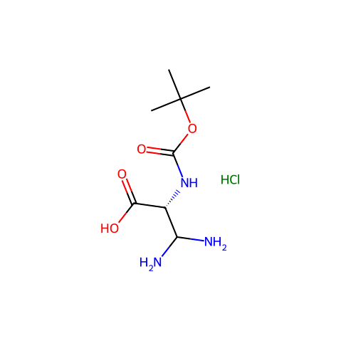 CC(C)(C)OC(=O)N[C@@H](C(=O)O)C(N)N.Cl